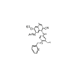 CCOc1cc2ncc(C#N)c(Nc3ccc(OCc4ccccn4)c(CI)c3)c2cc1NC(C)=O